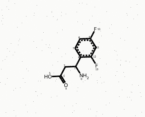 NC(CC(=O)O)c1ccc(F)cc1F